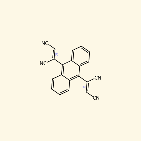 N#C/C=C(\C#N)c1c2ccccc2c(/C(C#N)=C/C#N)c2ccccc12